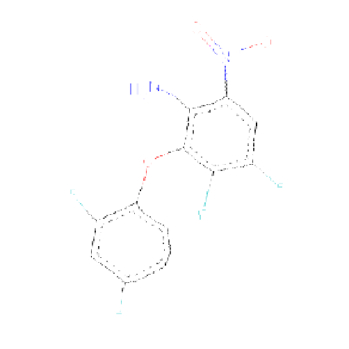 Nc1c([N+](=O)[O-])cc(F)c(F)c1Oc1ccc(F)cc1F